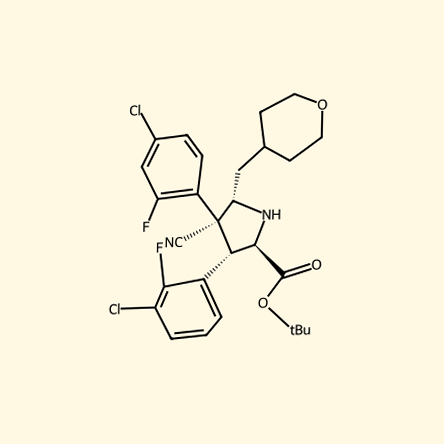 CC(C)(C)OC(=O)[C@@H]1N[C@@H](CC2CCOCC2)[C@](C#N)(c2ccc(Cl)cc2F)[C@H]1c1cccc(Cl)c1F